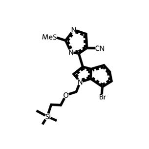 CSc1ncc(C#N)c(-c2cn(COCC[Si](C)(C)C)c3c(Br)cccc23)n1